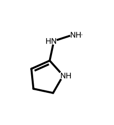 [NH]NC1=CCCN1